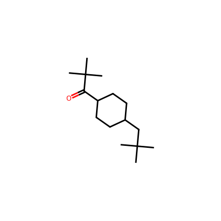 CC(C)(C)CC1CCC(C(=O)C(C)(C)C)CC1